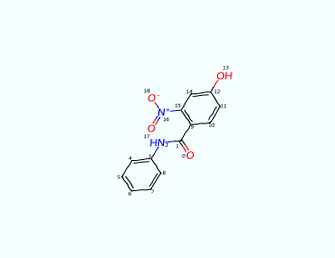 O=C(Nc1ccccc1)c1ccc(O)cc1[N+](=O)[O-]